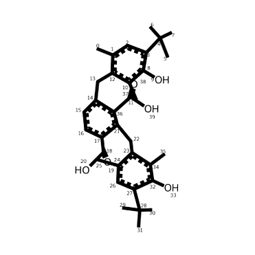 Cc1cc(C(C)(C)C)c(O)c(C)c1Cc1ccc(C(=O)O)c(Cc2c(C)cc(C(C)(C)C)c(O)c2C)c1C(=O)O